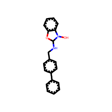 ON1c2ccccc2OC1NCc1ccc(-c2ccccc2)cc1